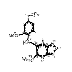 COc1cc(OC(F)(F)F)ccc1Nc1nc2nonc2nc1OC